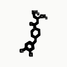 C[C@H](CN)CC(=O)N1CCC(Cc2ccc(Cl)c(Cl)c2)CC1